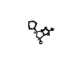 Cl[C@H]1C[C@@H](c2ccccc2)n2nc(Br)nc21